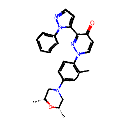 Cc1cc(N2C[C@@H](C)O[C@@H](C)C2)ccc1-n1ccc(=O)c(-c2ccnn2-c2ccccc2)n1